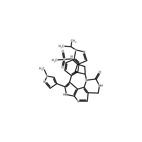 CC(C)n1ncc2cc(-c3c(-c4cnn(C)c4)[nH]c4ncc5c(c34)N(C3CC(NS(C)(=O)=O)C3)C(=O)NC5)ccc21